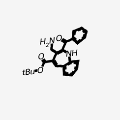 CC(C)(C)OC(=O)C1=Cc2ccccc2NC(C(=O)c2ccccc2)=C1CN